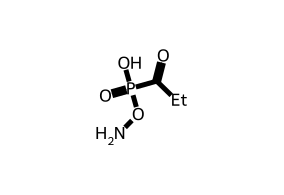 CCC(=O)P(=O)(O)ON